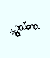 CC(C)Oc1cc(OC2CCN(C)CC2)ccc1Nc1ncc(Cl)c(Nc2ccccc2S(=O)(=O)N(C)C)n1